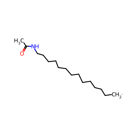 [CH2]CCCCCCCCCCCCCNC(C)=O